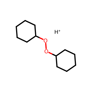 C1CCC(OOC2CCCCC2)CC1.[H+]